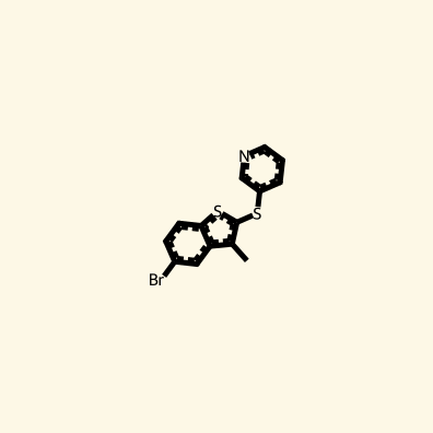 Cc1c(Sc2cccnc2)sc2ccc(Br)cc12